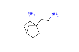 NCCC12CCC(CC1N)C2